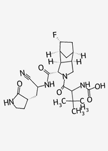 CC(C)(C)C(NC(=O)O)C(=O)N1C[C@@H]2[C@H]3C[C@@H]([C@@H]2[C@H]1C(=O)NC(C#N)C[C@@H]1CCNC1=O)[C@H](F)C3